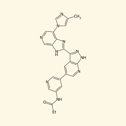 CCC(=O)Nc1cncc(-c2cnc3[nH]nc(-c4nc5c(-n6cnc(C)c6)cncc5[nH]4)c3c2)c1